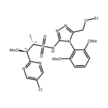 CCOCc1nnc(NS(=O)(=O)[C@@H](C)[C@H](OC)c2ncc(Cl)cn2)n1-c1c(OC)cccc1OC